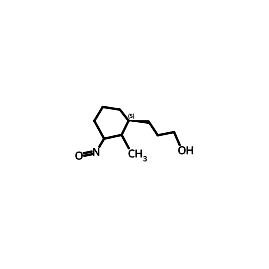 CC1C(N=O)CCC[C@H]1CCCO